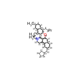 Cc1ccc2c(CC(C)C)c3c(c(C)c2c1)-c1c2c(cc4ccc(CC5CCCC5)cc4c2cc[n+]1C)O3